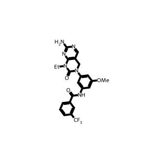 CCN1C(=O)N(c2cc(NC(=O)c3cccc(C(F)(F)F)c3)cc(OC)c2)Cc2cnc(N)nc21